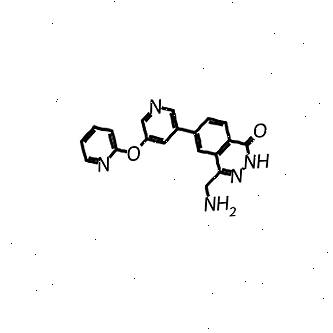 NCc1n[nH]c(=O)c2ccc(-c3cncc(Oc4ccccn4)c3)cc12